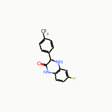 O=C1Nc2ccc(F)cc2NC1c1ccc(C(F)(F)F)cc1